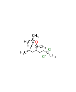 C=CCC(CC[Si](C)(Cl)Cl)[Si](C)(C)O[SiH](C)C